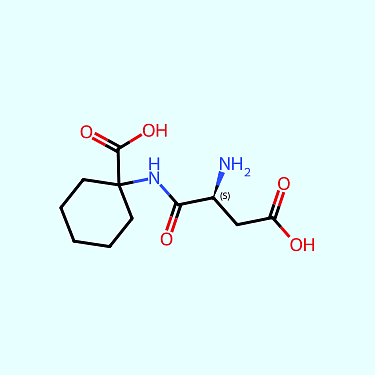 N[C@@H](CC(=O)O)C(=O)NC1(C(=O)O)CCCCC1